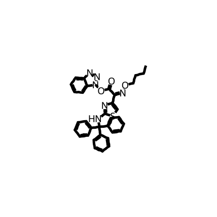 CCCCO/N=C(\C(=O)On1nnc2ccccc21)c1csc(NC(c2ccccc2)(c2ccccc2)c2ccccc2)n1